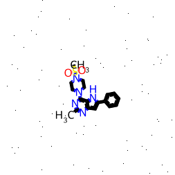 Cc1nc(N2CCN(S(C)(=O)=O)CC2)c2[nH]c(-c3ccccc3)cc2n1